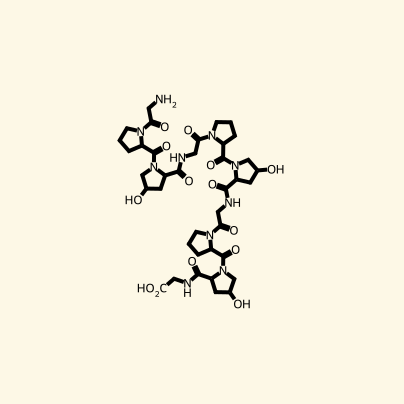 NCC(=O)N1CCCC1C(=O)N1CC(O)CC1C(=O)NCC(=O)N1CCCC1C(=O)N1CC(O)CC1C(=O)NCC(=O)N1CCCC1C(=O)N1CC(O)CC1C(=O)NCC(=O)O